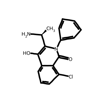 C[C@H](N)c1c(O)c2cccc(Cl)c2c(=O)n1-c1ccccc1